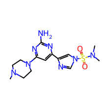 CN1CCN(c2cc(-c3cn(S(=O)(=O)N(C)C)cn3)nc(N)n2)CC1